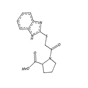 COC(=O)C1CCCN1C(=O)CSc1nc2ccccc2[nH]1